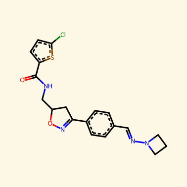 O=C(NCC1CC(c2ccc(C=NN3CCC3)cc2)=NO1)c1ccc(Cl)s1